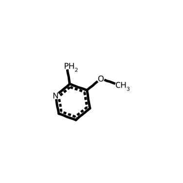 COc1cccnc1P